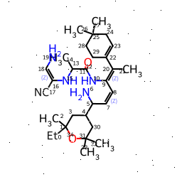 CCC1(C)CC(C(N)/C=C\C(NC(=O)C(C)N/C(C#N)=C\N)=C(/C)C2=CCC(C)(C)CC2)CC(C)(C)O1